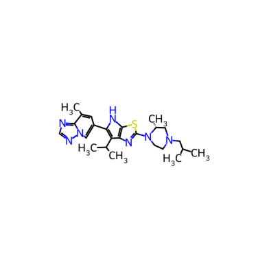 Cc1cc(-c2[nH]c3sc(N4CCN(CC(C)C)C[C@H]4C)nc3c2C(C)C)cn2ncnc12